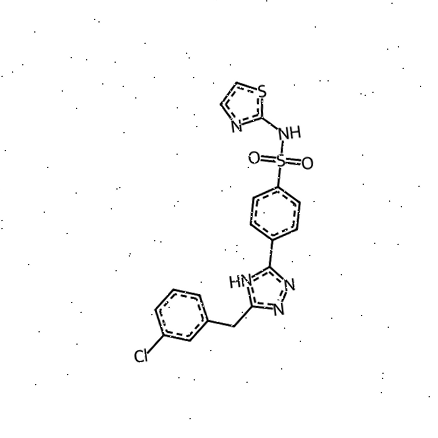 O=S(=O)(Nc1nccs1)c1ccc(-c2nnc(Cc3cccc(Cl)c3)[nH]2)cc1